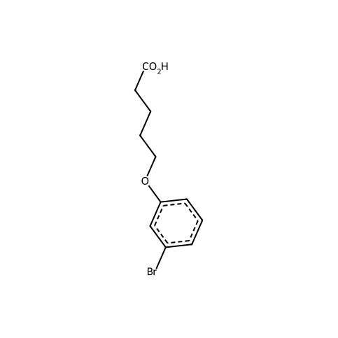 O=C(O)CCCCOc1cccc(Br)c1